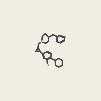 Clc1cc(C2CC2CN2CCC(Cc3ccccc3)CC2)ccc1C1CCCCC1